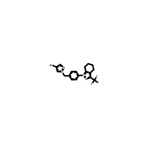 FC(F)(F)c1nn(-c2ccc(Cn3cc(Br)cn3)cc2)c2c1CCCC2